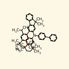 CC(C)c1cc2c(cc1-c1cc3c(cc1N(c1ccc(-c4ccccc4)cc1)c1ccc4c(c1)C(C)(C)CCC4(C)C)C(C)(C)c1ccccc1-3)C(C)(C)CCC2(C)C